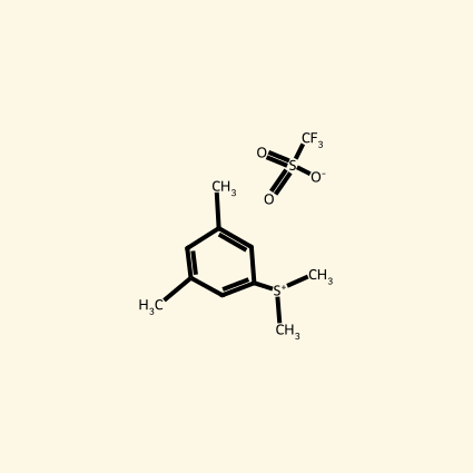 Cc1cc(C)cc([S+](C)C)c1.O=S(=O)([O-])C(F)(F)F